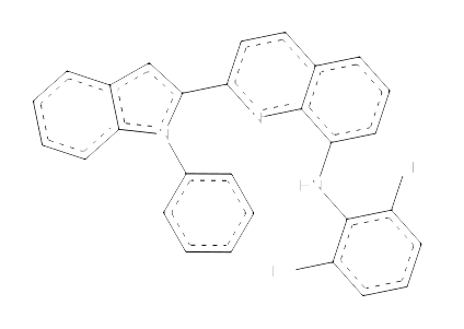 Cc1cccc(C)c1Nc1cccc2ccc(-c3cc4ccccc4n3-c3ccccc3)nc12